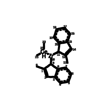 CC1=Cc2ccccc2[CH]1[Zr]([CH]1C(C)=Cc2ccccc21)[GeH]([CH3])[CH3]